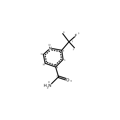 CC(C)(F)c1cc(C(N)=O)ccn1